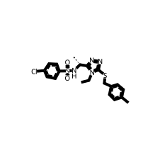 CCn1c(SCc2ccc(C)cc2)nnc1[C@@H](C)NS(=O)(=O)c1ccc(Cl)cc1